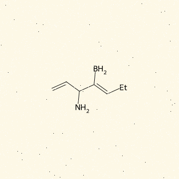 B/C(=C\CC)C(N)C=C